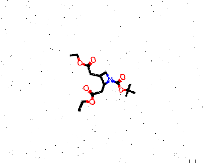 CCOC(=O)CC1CN(C(=O)OC(C)(C)C)C1CC(=O)OCC